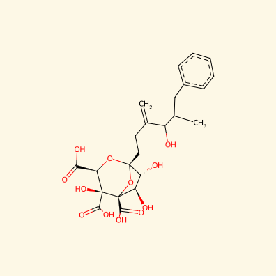 C=C(CC[C@]12O[C@H](C(=O)O)[C@@](O)(C(=O)O)[C@](C(=O)O)(O1)[C@H](O)[C@H]2O)C(O)C(C)Cc1ccccc1